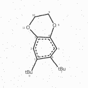 CC(C)(C)c1cc2c(cc1C(C)(C)C)OCCO2